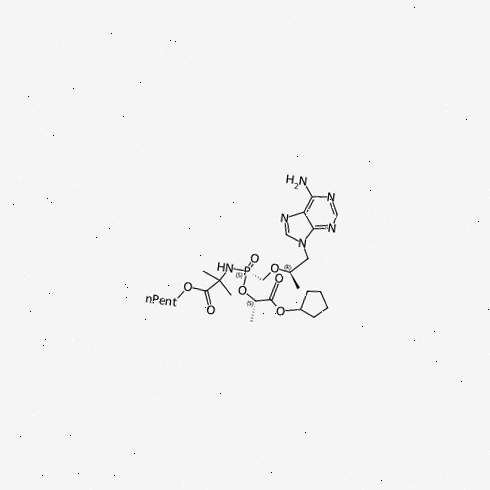 CCCCCOC(=O)C(C)(C)N[P@](=O)(CO[C@H](C)Cn1cnc2c(N)ncnc21)O[C@@H](C)C(=O)OC1CCCC1